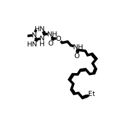 CC/C=C\C/C=C\C/C=C\C/C=C\C/C=C\C/C=C\CCC(=O)NCCCOC(=O)NC(=N)NC(=N)N(C)C